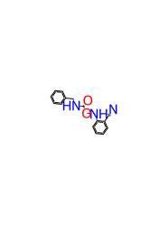 N#Cc1ccccc1NOC(=O)NCc1ccccc1